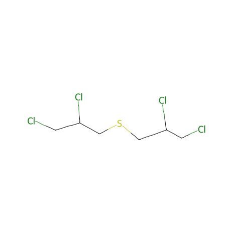 ClCC(Cl)CSCC(Cl)CCl